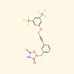 O=c1[nH]c(=O)n(Cc2cccc(C#CCOc3cc(C(F)(F)F)cc(C(F)(F)F)c3)c2)o1